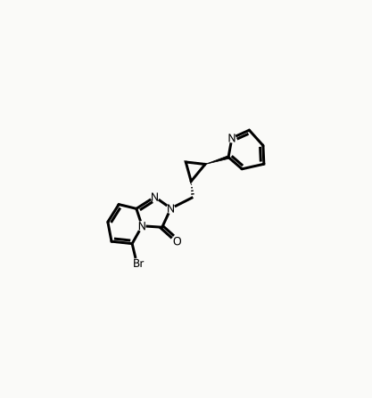 O=c1n(C[C@@H]2C[C@H]2c2ccccn2)nc2cccc(Br)n12